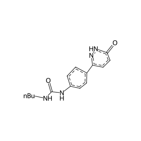 CCCCNC(=O)Nc1ccc(-c2ccc(=O)[nH]n2)cc1